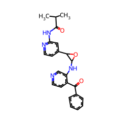 CC(C)C(=O)Nc1cc(C2OC2Nc2cnccc2C(=O)c2ccccc2)ccn1